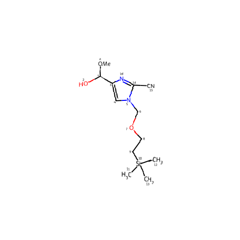 COC(O)c1cn(COCC[Si](C)(C)C)c(C#N)n1